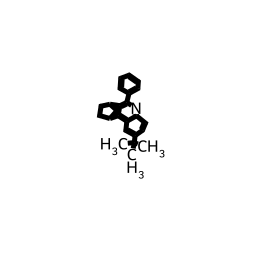 CC(C)(C)c1ccc2nc(-c3ccccc3)c3c(c2c1)C1CCC3C1